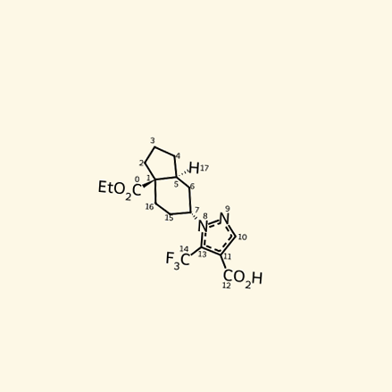 CCOC(=O)[C@@]12CCC[C@H]1C[C@H](n1ncc(C(=O)O)c1C(F)(F)F)CC2